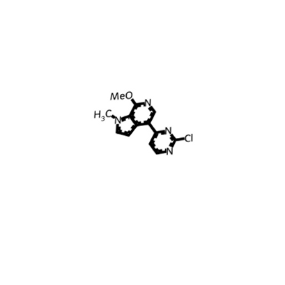 COc1ncc(-c2ccnc(Cl)n2)c2ccn(C)c12